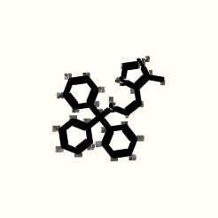 Cc1ncsc1/C=C\SC(c1ccccc1)(c1ccccc1)c1ccccc1